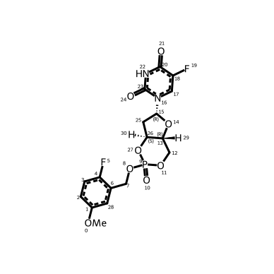 COc1ccc(F)c(COP2(=O)OC[C@H]3O[C@@H](n4cc(F)c(=O)[nH]c4=O)C[C@@H]3O2)c1